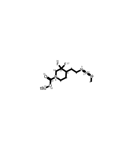 CN=[N+]=NCCC1CCN(C(=O)OC(C)(C)C)CC1(F)F